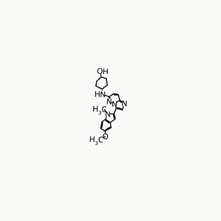 COc1ccc2c(c1)cc(-c1cnc3ccc(N[C@H]4CC[C@H](O)CC4)nn13)n2C